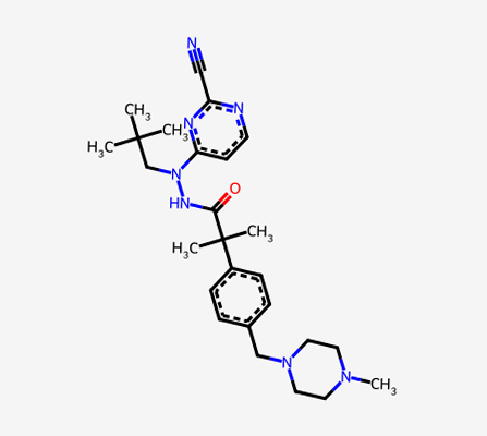 CN1CCN(Cc2ccc(C(C)(C)C(=O)NN(CC(C)(C)C)c3ccnc(C#N)n3)cc2)CC1